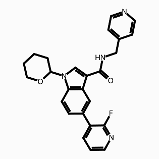 O=C(NCc1ccncc1)c1cn(C2CCCCO2)c2ccc(-c3cccnc3F)cc12